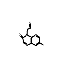 O=CCn1c(=O)cnc2cc(F)cnc21